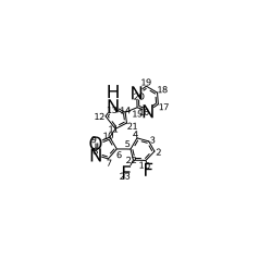 Fc1cccc(-c2cnoc2-c2c[nH]c(-c3ncccn3)c2)c1F